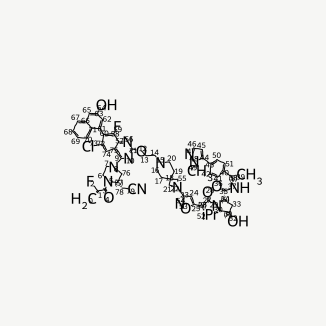 C=C(F)C(=O)N1CCN(c2nc(OCCN3CCC4(CC3)CN(c3cc([C@@H](C(=O)N5C[C@H](O)C[C@H]5C(=O)N[C@@H](C)c5ccc(-c6ccnn6C)cc5)C(C)C)on3)C4)nc3c(F)c(-c4cc(O)cc5ccccc45)c(Cl)cc23)C[C@@H]1CC#N